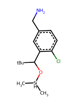 C[SiH](C)OC(c1cc(CN)ccc1Cl)C(C)(C)C